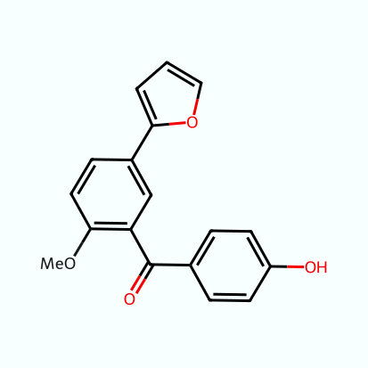 COc1ccc(-c2ccco2)cc1C(=O)c1ccc(O)cc1